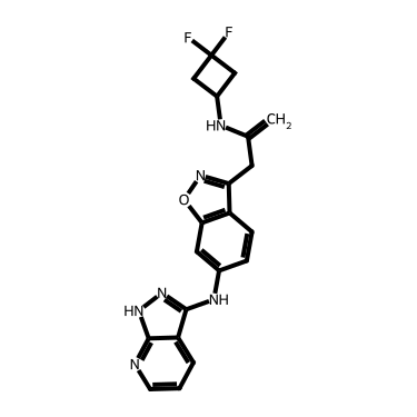 C=C(Cc1noc2cc(Nc3n[nH]c4ncccc34)ccc12)NC1CC(F)(F)C1